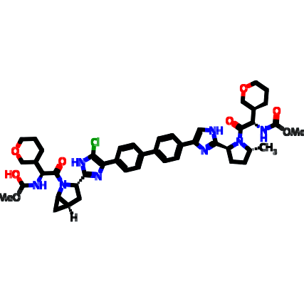 COC(=O)N[C@H](C(=O)N1[C@H](C)CC[C@H]1c1nc(-c2ccc(-c3ccc(-c4nc([C@@H]5C[C@H]6CC6N5C(=O)[C@@H](NC(O)OC)C5CCCOC5)[nH]c4Cl)cc3)cc2)c[nH]1)[C@@H]1CCCOC1